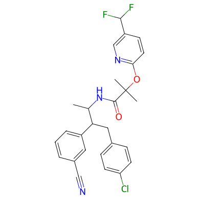 CC(NC(=O)C(C)(C)Oc1ccc(C(F)F)cn1)C(Cc1ccc(Cl)cc1)c1cccc(C#N)c1